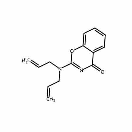 C=CCN(CC=C)c1nc(=O)c2ccccc2o1